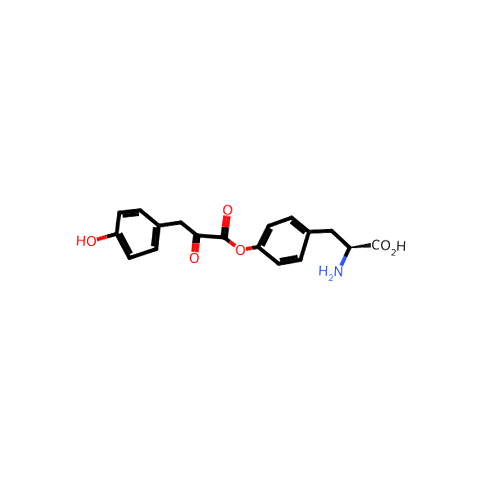 N[C@@H](Cc1ccc(OC(=O)C(=O)Cc2ccc(O)cc2)cc1)C(=O)O